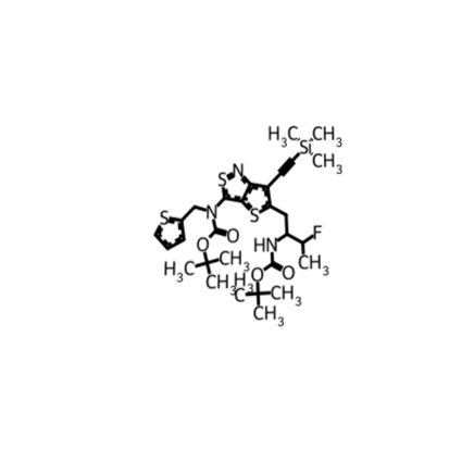 CC(F)C(Cc1sc2c(N(Cc3cccs3)C(=O)OC(C)(C)C)snc2c1C#C[Si](C)(C)C)NC(=O)OC(C)(C)C